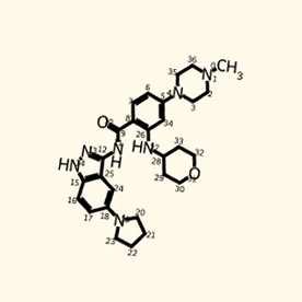 CN1CCN(c2ccc(C(=O)Nc3n[nH]c4ccc(N5CCCC5)cc34)c(NC3CCOCC3)c2)CC1